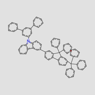 c1ccc(-c2cc(-c3ccccc3)cc(-n3c4ccccc4c4cc(-c5ccc6c(c5)C(c5ccccc5)(c5ccccc5)c5cc(C(c7ccccc7)(c7ccccc7)c7ccccc7)ccc5-6)ccc43)c2)cc1